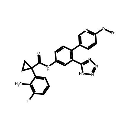 CCOc1ccc(-c2ccc(NC(=O)C3(c4cccc(F)c4C)CC3)cc2-c2nnn[nH]2)cn1